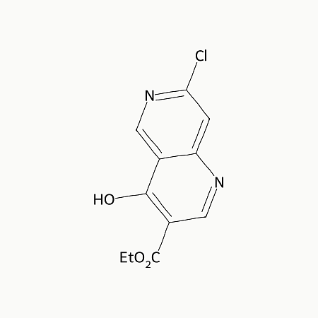 CCOC(=O)c1cnc2cc(Cl)ncc2c1O